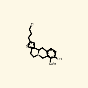 COc1c(O)ccc2c1CN1CCc3sc(CCCCl)cc3C1C2